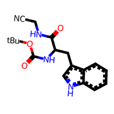 CC(C)(C)OC(=O)NC(Cc1c[nH]c2ccccc12)C(=O)NCC#N